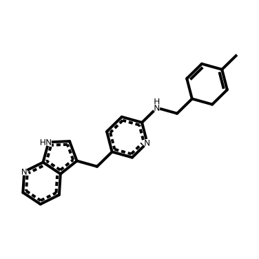 CC1=CCC(CNc2ccc(Cc3c[nH]c4ncccc34)cn2)C=C1